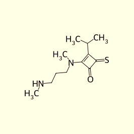 CNCCCN(C)c1c(C(C)C)c(=S)c1=O